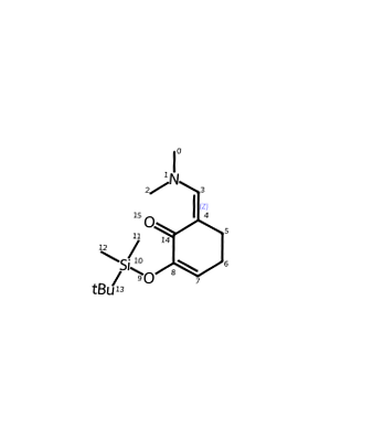 CN(C)/C=C1/CCC=C(O[Si](C)(C)C(C)(C)C)C1=O